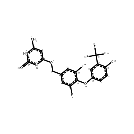 Cc1cc(OCc2cc(F)c(Oc3ccc(Cl)c(C(F)(F)F)c3)c(F)c2)nc(=O)[nH]1